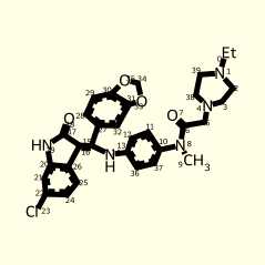 CCN1CCN(CC(=O)N(C)c2ccc(NC(=C3C(=O)Nc4cc(Cl)ccc43)c3ccc4c(c3)OCO4)cc2)CC1